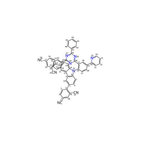 N#Cc1ccc(-c2ccc3c(c2)c2cc(-c4ccc(C#N)cc4C#N)ccc2n3-c2ccc(-c3ccccn3)cc2-c2nc(-c3ccccc3)nc(-c3ccccc3)n2)c(C#N)c1